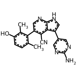 Cc1ccc(O)c(C)c1-c1cnc2[nH]cc(-c3cnc(N)nc3)c2c1C#N